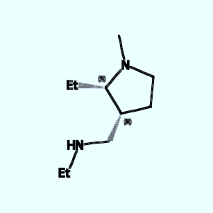 CCNC[C@H]1CCN(C)[C@H]1CC